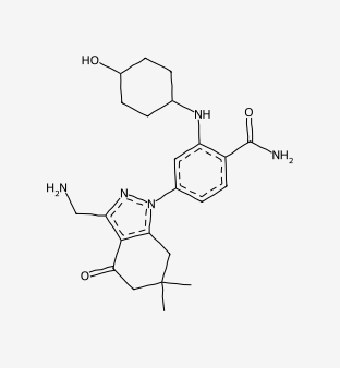 CC1(C)CC(=O)c2c(CN)nn(-c3ccc(C(N)=O)c(NC4CCC(O)CC4)c3)c2C1